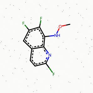 CONc1c(F)c(F)cc2ccc(F)nc12